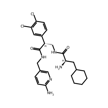 Nc1ccc(CNC(=O)[C@@H](CNC(=O)[C@H](N)CC2CCCCC2)c2ccc(Cl)c(Cl)c2)cn1